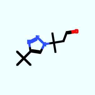 CC(C)(C)c1cn(C(C)(C)CC=O)nn1